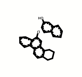 Clc1cc2c3c(ccc2c2ccccc12)CCCC3.Oc1ccc2ccccc2c1